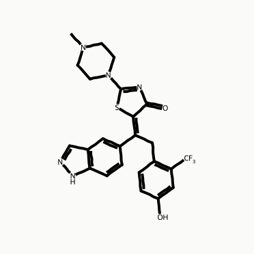 CN1CCN(C2=NC(=O)C(=C(Cc3ccc(O)cc3C(F)(F)F)c3ccc4[nH]ncc4c3)S2)CC1